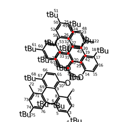 Cc1cc(C(C)(C)C)cc(C(C)(C)C)c1-c1c(OP(Oc2ccc(C(C)(C)C)c(-c3c(C)cc(C(C)(C)C)cc3C(C)(C)C)c2-c2c(C)cc(C(C)(C)C)cc2C(C)(C)C)Oc2ccc(C(C)(C)C)c(-c3c(C)cc(C(C)(C)C)cc3C(C)(C)C)c2-c2c(C)cc(C(C)(C)C)cc2C(C)(C)C)ccc(C(C)(C)C)c1-c1c(C)cc(C(C)(C)C)cc1C(C)(C)C